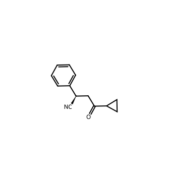 N#C[C@H](CC(=O)C1CC1)c1ccccc1